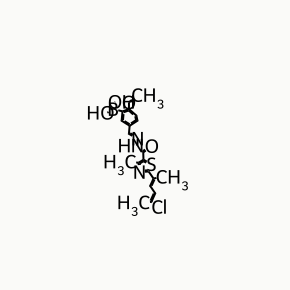 COc1ccc(/C=N/NC(=O)c2sc(/C(C)=C/C=C(\C)Cl)nc2C)cc1B(O)O